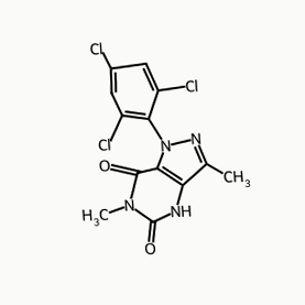 Cc1nn(-c2c(Cl)cc(Cl)cc2Cl)c2c(=O)n(C)c(=O)[nH]c12